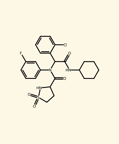 O=C(NC1CCCCC1)C(c1ccccc1Cl)N(C(=O)C1CCS(=O)(=O)N1)c1cccc(F)c1